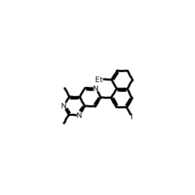 CCC1=CCCc2cc(I)cc(-c3cc4nc(C)nc(C)c4cn3)c21